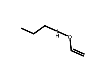 C=CO[IH]CCC